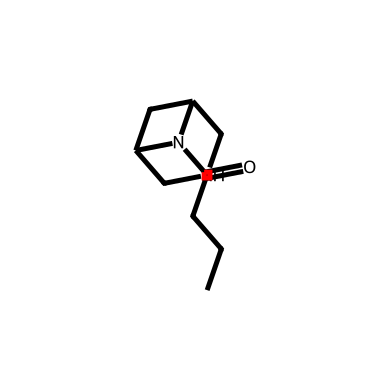 CCCC(=O)N1C2CNCC1C2